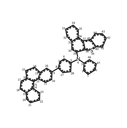 c1ccc(N(c2ccc(-c3ccc4c(ccc5ccc6ccccc6c54)c3)cc2)c2cc3ccccc3c3c2sc2ccccc23)cc1